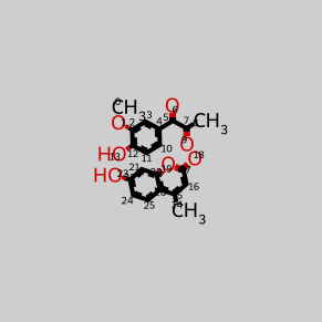 COc1cc(C(=O)C(C)=O)ccc1O.Cc1cc(=O)oc2cc(O)ccc12